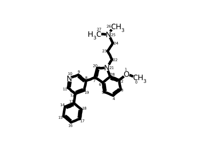 COc1cccc2c(-c3cncc(-c4ccccc4)c3)cn(CCCN(C)C)c12